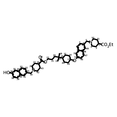 CCOC(=O)C1CCN(Cc2ccc3cc(OC4CCC(C(C)(C)CCCOC(=O)C5CCN(Cc6ccc7cc(O)ccc7c6)CC5)CC4)ccc3c2)CC1